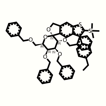 CCc1ccc(-c2c([Si](C)(C)C)sc3cc4c(cc23)[C@]2(OC4)O[C@H](COCc3ccccc3)[C@H](OCc3ccccc3)[C@H](OCc3ccccc3)[C@H]2OCc2ccccc2)cc1